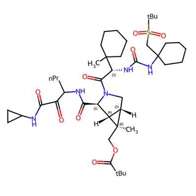 CCCC(NC(=O)[C@@H]1[C@@H]2[C@H](CN1C(=O)[C@@H](NC(=O)NC1(CS(=O)(=O)C(C)(C)C)CCCCC1)C1(C)CCCCC1)[C@@]2(C)COC(=O)C(C)(C)C)C(=O)C(=O)NC1CC1